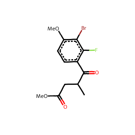 COC(=O)CC(C)C(=O)c1ccc(OC)c(Br)c1F